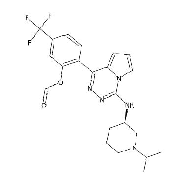 CC(C)N1CCC[C@@H](Nc2nnc(-c3ccc(C(F)(F)F)cc3OC=O)c3cccn23)C1